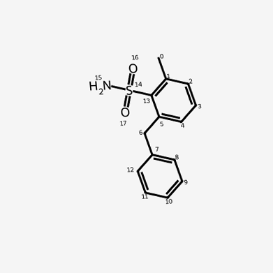 Cc1cccc(Cc2ccccc2)c1S(N)(=O)=O